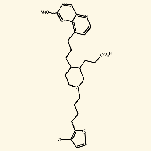 COc1ccc2nccc(CCCC3CCN(CCCSc4sccc4Cl)CC3CCC(=O)O)c2c1